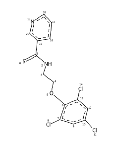 S=C(NCCOc1c(Cl)cc(Cl)cc1Cl)c1cccnc1